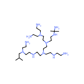 CC(C)CN(CCN)CCNCCN(CCNCCN)CCN(CCNC(C)(C)N)CCN(CCN)CCN